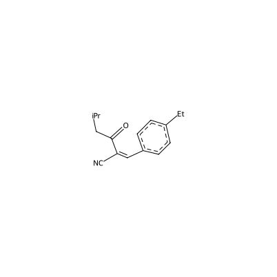 CCc1ccc(C=C(C#N)C(=O)CC(C)C)cc1